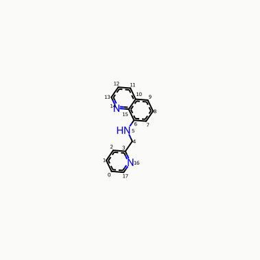 c1ccc(CNc2cccc3cccnc23)nc1